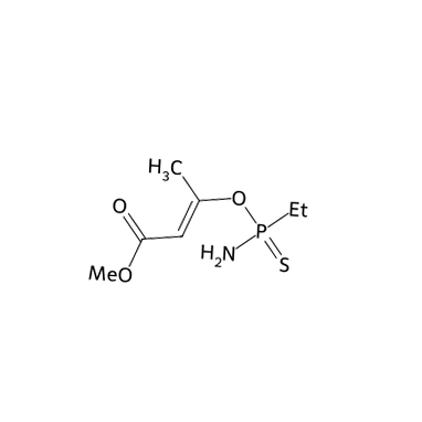 CCP(N)(=S)OC(C)=CC(=O)OC